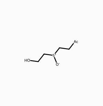 CC(=O)CC[S+]([O-])CCO